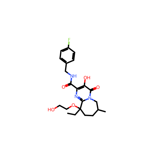 CCC1(OCCO)CCC(C)Cn2c1nc(C(=O)NCc1ccc(F)cc1)c(O)c2=O